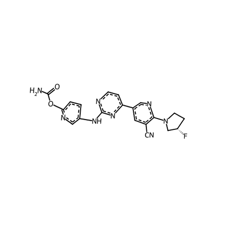 N#Cc1cc(-c2ccnc(Nc3ccc(OC(N)=O)nc3)n2)cnc1N1CC[C@H](F)C1